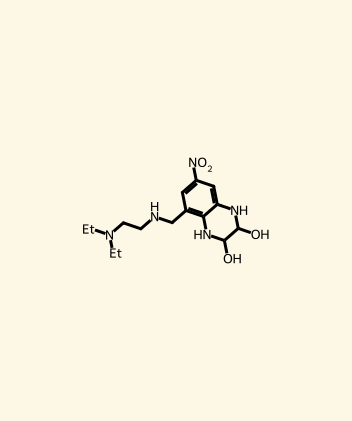 CCN(CC)CCNCc1cc([N+](=O)[O-])cc2c1NC(O)C(O)N2